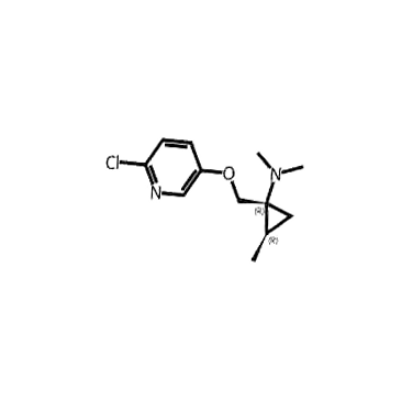 C[C@@H]1C[C@@]1(COc1ccc(Cl)nc1)N(C)C